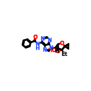 CC[C@]12O[C@@H](n3cnc4c(NC(=O)c5ccccc5)ncnc43)C(OC13CC3)[C@H]2O